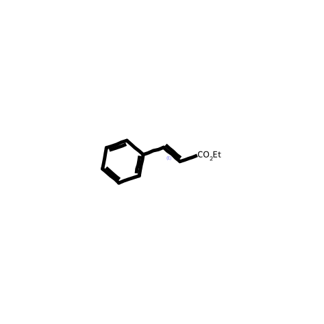 C[CH]OC(=O)/C=C/c1ccccc1